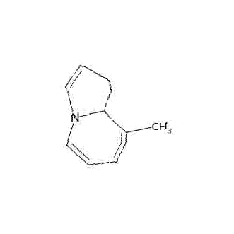 CC1=CC=CN2C=CCC12